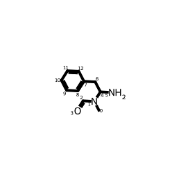 CN(C=O)C(N)Cc1ccccc1